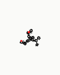 c1ccc(-c2cc(-c3ccccc3)cc(-c3ccc(N(c4ccc(-c5cccc6c5sc5ccccc56)cc4)c4ccc(-c5cccc6c5sc5ccccc56)cc4)c4ccccc34)c2)cc1